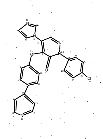 O=c1c(Oc2ccc(-c3ccncc3)cc2)c(-n2ccnc2)cnn1-c1ccc(Cl)cc1